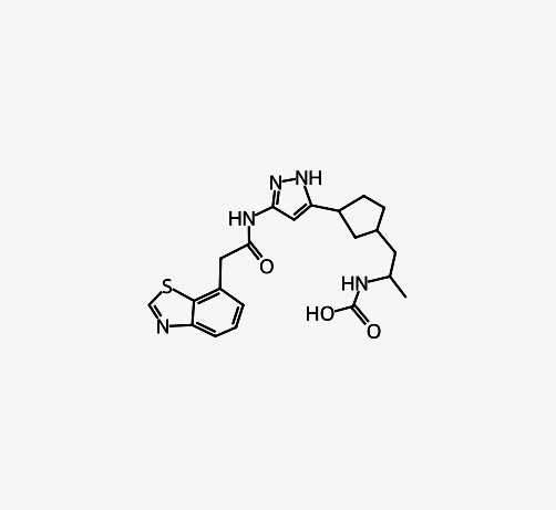 CC(CC1CCC(c2cc(NC(=O)Cc3cccc4ncsc34)n[nH]2)C1)NC(=O)O